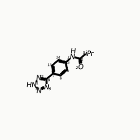 CC(C)C(=O)Nc1ccc(-c2nn[nH]n2)cc1